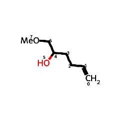 C=CCCC(O)COC